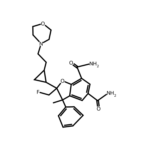 CC1(c2ccccc2)c2cc(C(N)=O)cc(C(N)=O)c2OC1(CF)C1CC1CCN1CCOCC1